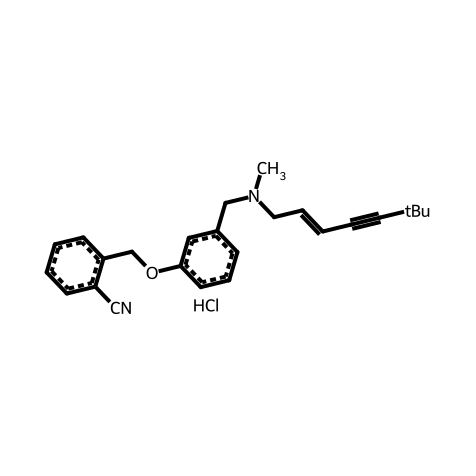 CN(CC=CC#CC(C)(C)C)Cc1cccc(OCc2ccccc2C#N)c1.Cl